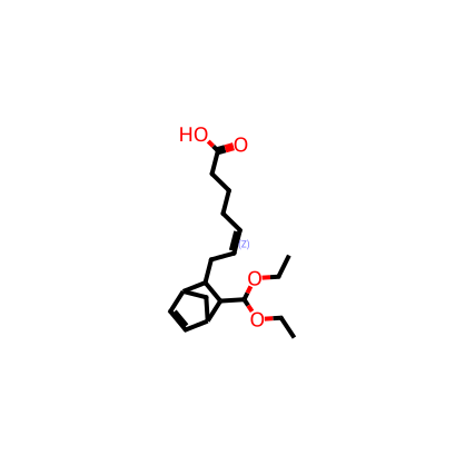 CCOC(OCC)C1C2C=CC(C2)C1C/C=C\CCCC(=O)O